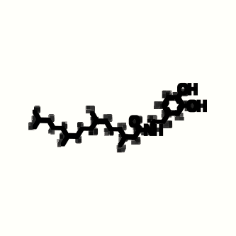 CC(C)=CCCC(C)=CCCC(C)=CCCC(C)=CC(=O)NCCc1ccc(O)c(O)c1